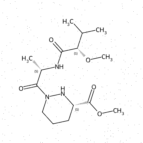 COC(=O)[C@@H]1CCCN(C(=O)[C@H](C)NC(=O)[C@@H](OC)C(C)C)N1